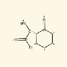 CCCOC(=O)CC.O=C1CCCCC1